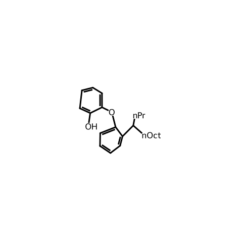 CCCCCCCCC(CCC)c1ccccc1Oc1ccccc1O